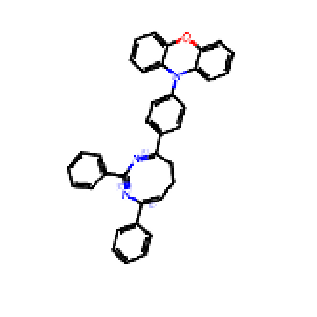 C1=C(c2ccccc2)/N=C(c2ccccc2)\N=C(\c2ccc(N3c4ccccc4Oc4ccccc43)cc2)CC\1